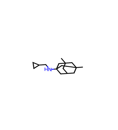 CC12CC3CC(C)(C1)CC(NCC1CC1)(C3)C2